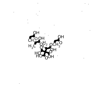 C=C(C(=O)O)C(C(=O)O)(C(=O)O)C(=O)O.C=CC(=O)O.C=CC(=O)O.C=CC(=O)O